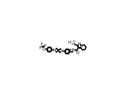 CCc1nn2c(c1C(=O)NCc1ccc(N3CC4(C3)CN(c3ccc(OC(F)(F)F)cc3)C4)cc1)CCCC2